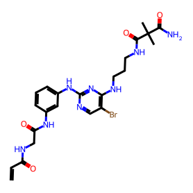 C=CC(=O)NCC(=O)Nc1cccc(Nc2ncc(Br)c(NCCCNC(=O)C(C)(C)C(N)=O)n2)c1